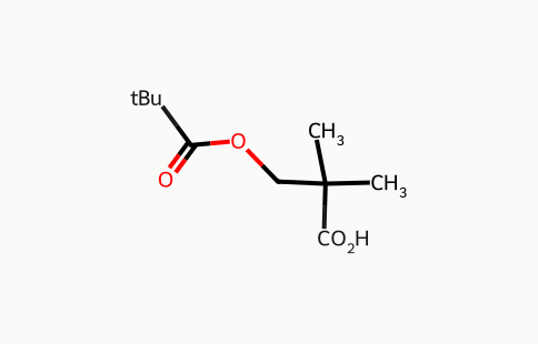 CC(C)(C)C(=O)OCC(C)(C)C(=O)O